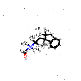 CCCCC1(CC(C)(C)[N+](C)(C)[SiH]=O)c2ccccc2CC1(C)C.[Ti]